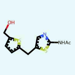 CC(=O)Nc1ncc(Cc2ccc(CO)s2)s1